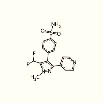 Cn1nc(-c2ccncc2)c(-c2ccc(S(N)(=O)=O)cc2)c1C(F)F